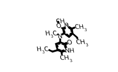 CCc1cc(N(C)c2cc(CC)c(C)[nH]c2=O)c(OC)nc1C